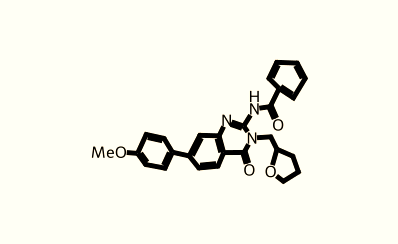 COc1ccc(-c2ccc3c(=O)n(CC4CCCO4)c(NC(=O)c4ccccc4)nc3c2)cc1